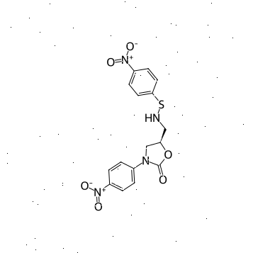 O=C1O[C@H](CNSc2ccc([N+](=O)[O-])cc2)CN1c1ccc([N+](=O)[O-])cc1